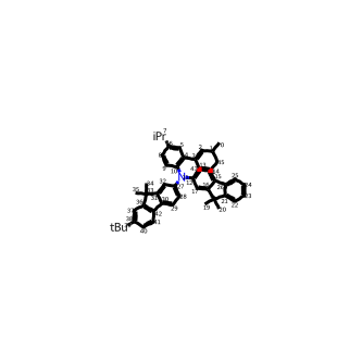 CC1C=C(c2cc(C(C)C)ccc2N(c2ccc3c(c2)C(C)(C)c2ccccc2-3)c2ccc3c(c2)C(C)(C)c2cc(C(C)(C)C)ccc2-3)C=CC1